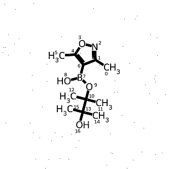 Cc1noc(C)c1B(O)OC(C)(C)C(C)(C)O